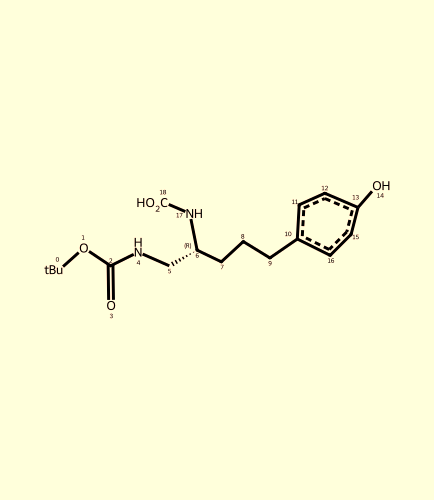 CC(C)(C)OC(=O)NC[C@@H](CCCc1ccc(O)cc1)NC(=O)O